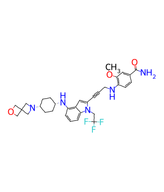 COc1cc(C(N)=O)ccc1NCC#Cc1cc2c(N[C@H]3CC[C@@H](N4CC5(COC5)C4)CC3)cccc2n1CC(F)(F)F